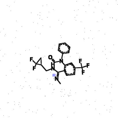 C/N=C(/NCC1CC1(F)F)c1ccc(C(F)(F)F)cc1N(C=O)c1ccccc1